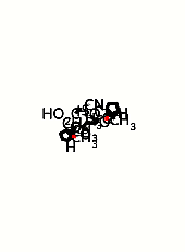 CC1(C)[C@@H]2CC[C@]1(C)C(OC(=O)CCC(=O)OC1C[C@H]3CC[C@@]1(C)C3(C)C)C2.N#CSCC(=O)O